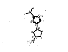 CC(C)c1nc(N2CC[C@@H](N)C2)[c]s1